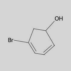 OC1C=CC=C(Br)C1